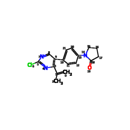 C=C(C)c1nc(Cl)ncc1-c1ccc(N2CCCC2=O)cc1